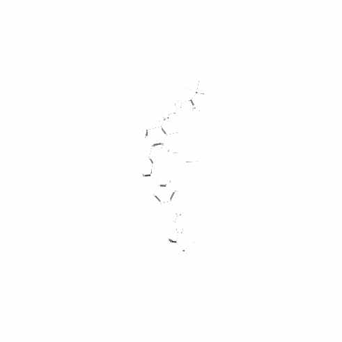 CCCOc1c(/C=C/C(=O)c2ccc(OCOC(=O)C(C)(C)C)cc2)cc(C)c(OCOC(=O)C(C)(C)C)c1C